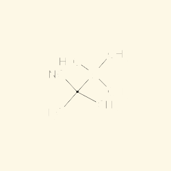 CC(C)(C#N)[Si](C)(C)C